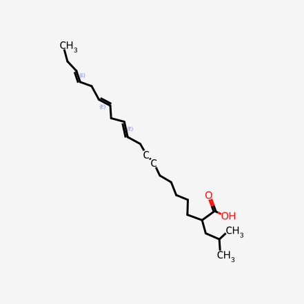 CC/C=C/C/C=C/C/C=C/CCCCCCCCC(CC(C)C)C(=O)O